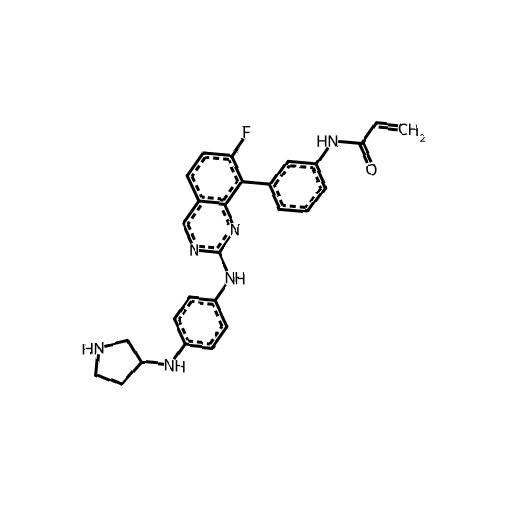 C=CC(=O)Nc1cccc(-c2c(F)ccc3cnc(Nc4ccc(NC5CCNC5)cc4)nc23)c1